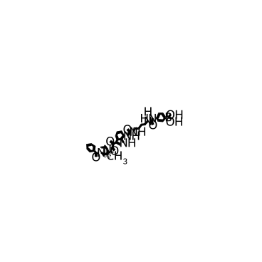 C[C@@H]1CN(C(=O)c2ccccc2)CCN1C(=O)C(=O)c1c[nH]c2c(NC(=O)NCCCCNC(=O)Nc3ccc(B(O)O)cc3)cccc12